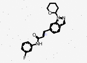 O=C(/C=C/c1ccc2cnn(C3CCCCO3)c2c1)Nc1cccc(F)c1